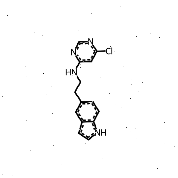 Clc1cc(NCCc2ccc3[nH]ccc3c2)ncn1